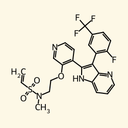 C=CS(=O)(=O)N(C)CCOc1cnccc1-c1[nH]c2cccnc2c1-c1cc(C(F)(F)F)ccc1F